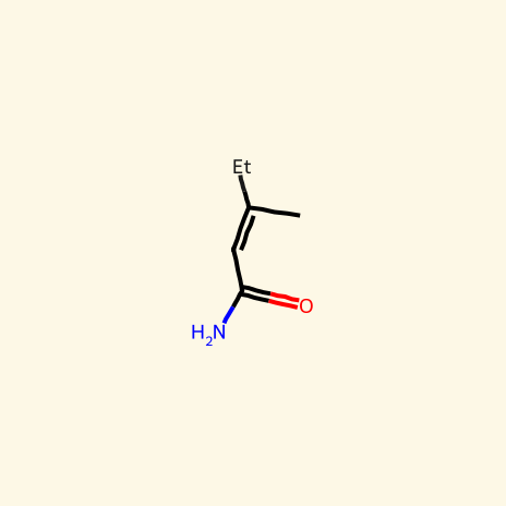 CC/C(C)=C/C(N)=O